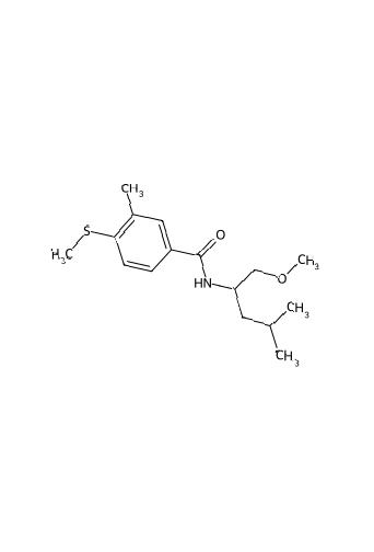 COCC(CC(C)C)NC(=O)c1ccc(SC)c(C)c1